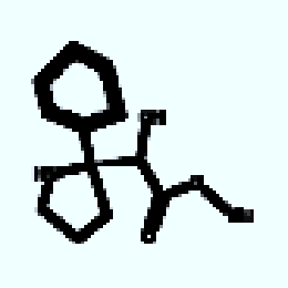 CC(C)(C)OC(=O)C(O)[C@]1(c2ccccc2)CCCN1